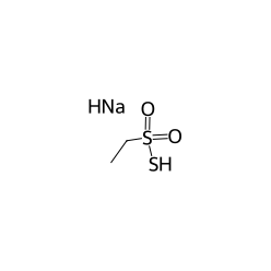 CCS(=O)(=O)S.[NaH]